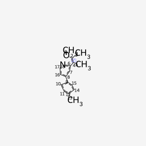 CO/C(C)=C(/C)c1cc(-c2ccc(C)cc2)ccn1